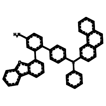 Nc1ccc(-c2ccc(N(c3ccccc3)c3ccc4ccc5ccccc5c4c3)cc2)c(-c2cccc3c2oc2ccccc23)c1